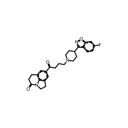 O=C(CCCN1CCC(c2noc3cc(F)ccc23)CC1)c1cc2c3c(c1)CCN3C(=O)CC2